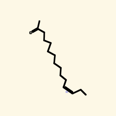 CC/C=C\CCCCCCCCCC(C)=O